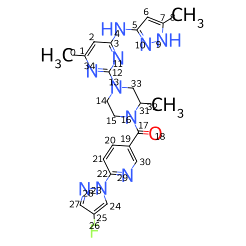 Cc1cc(Nc2cc(C)[nH]n2)nc(N2CCN(C(=O)c3ccc(-n4cc(F)cn4)nc3)C(C)C2)n1